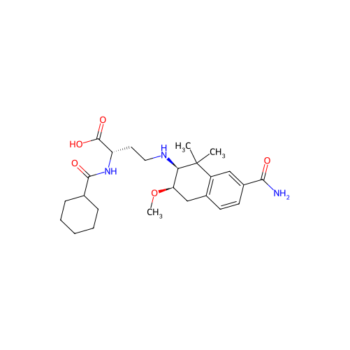 CO[C@@H]1Cc2ccc(C(N)=O)cc2C(C)(C)[C@@H]1NCC[C@H](NC(=O)C1CCCCC1)C(=O)O